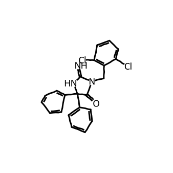 N=C1NC(c2ccccc2)(c2ccccc2)C(=O)N1Cc1c(Cl)cccc1Cl